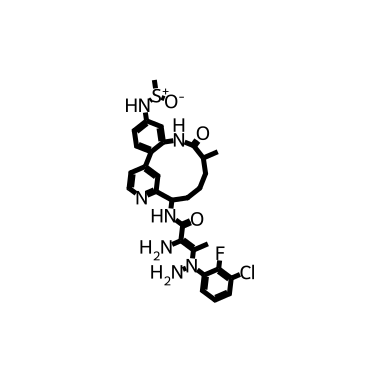 C/C(=C(/N)C(=O)NC1CCCC(C)C(=O)Nc2cc(N[S+](C)[O-])ccc2-c2ccnc1c2)N(N)c1cccc(Cl)c1F